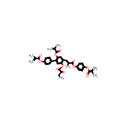 C=C(C)C(=O)Oc1ccc(OC(=O)/C(C)=C/c2cc(OC(=O)C(=C)C)c(-c3ccc(OC(=O)C(=C)C)cc3)cc2OC(=O)C(=O)CC)cc1